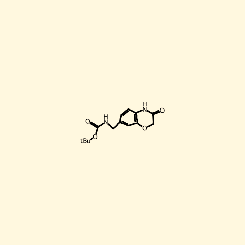 CC(C)(C)OC(=O)NCc1ccc2c(c1)OCC(=O)N2